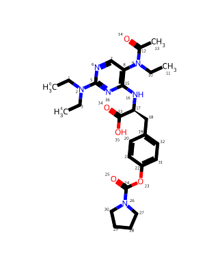 CCN(CC)c1ncc(N(CC)C(C)=O)c(N[C@@H](Cc2ccc(OC(=O)N3CCCC3)cc2)C(=O)O)n1